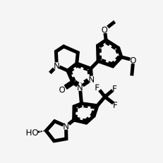 COc1cc(OC)cc(-c2nn(-c3cc(N4CC[C@H](O)C4)ccc3C(F)(F)F)c(=O)c3c2CCCN3C)c1